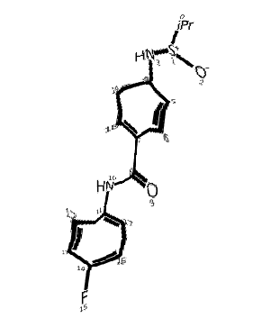 CC(C)[S+]([O-])NC1C=CC(C(=O)Nc2ccc(F)cc2)=CC1